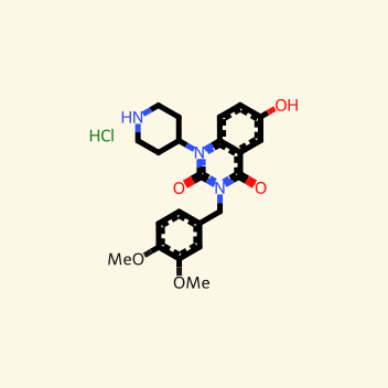 COc1ccc(Cn2c(=O)c3cc(O)ccc3n(C3CCNCC3)c2=O)cc1OC.Cl